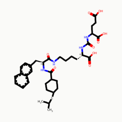 CC(C)CC1CCC(C(=O)N[C@@H](Cc2ccc3ccccc3c2)C(=O)NCCCC[C@H](NC(=O)NC(CCC(=O)O)C(=O)O)C(=O)O)CC1